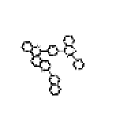 c1ccc(-c2nc(-c3ccc(-c4nc5ccccc5c5ccc6nc(-c7ccc8ccccc8c7)ccc6c45)cc3)c3ccccc3n2)cc1